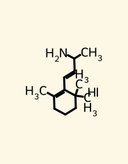 CC1=C(C=CC(C)N)C(C)(C)CCC1.I